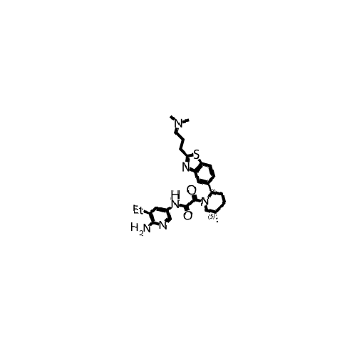 CCc1cc(NC(=O)C(=O)N2C[C@@H](C)CC[C@@H]2c2ccc3sc(CCCN(C)C)nc3c2)cnc1N